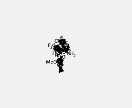 COc1cc(C(=O)NC[C@@](O)(c2ccc(C(F)(F)F)cc2)c2cc3c(c(-c4cc(Cl)c(F)cc4F)n2)OC[C@]3(C)C(N)=O)cc2cn(C3CC3)nc12